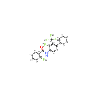 O=C(Nc1ccc(-c2ccccc2)c(C(F)(F)F)c1F)c1ccccc1F